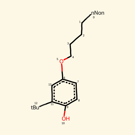 CCCCCCCCCCCCCOc1ccc(O)c(C(C)(C)C)c1